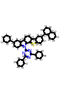 c1ccc(-c2ccc3c(c2)c2ccc4c5cc(-c6cccc7ccccc67)ccc5sc4c2n3-c2nc(-c3ccccc3)nc(-c3ccccc3)n2)cc1